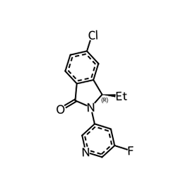 CC[C@@H]1c2cc(Cl)ccc2C(=O)N1c1cncc(F)c1